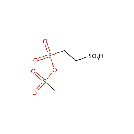 CS(=O)(=O)OS(=O)(=O)CCS(=O)(=O)O